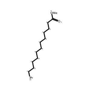 COC(=O)CCCCCCCCCCCC(C)C